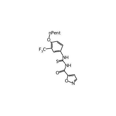 CCCCCOc1ccc(NC(=S)NC(=O)c2ccno2)cc1C(F)(F)F